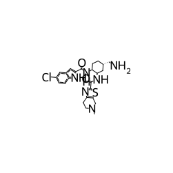 CN1CCc2nc(C(=O)N[C@@H]3C[C@@H](CN)CC[C@@H]3NC(=O)c3cc4cc(Cl)ccc4[nH]3)sc2C1